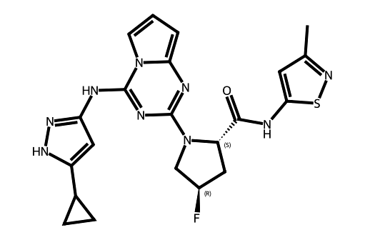 Cc1cc(NC(=O)[C@@H]2C[C@@H](F)CN2c2nc(Nc3cc(C4CC4)[nH]n3)n3cccc3n2)sn1